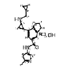 Cc1nnc(NC(=O)c2cc3c(c(C4CC4NCC4CC4)c2)OCC3)s1.Cl.Cl